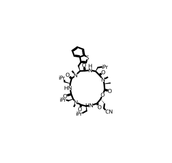 CC(C)C[C@@H]1NC(=O)[C@H](Cc2csc3ccccc23)N(C)C(=O)[C@H](CC(C)C)NC(=O)[C@H](CC(C)C)N(C)C(=O)[C@H](CC(C)C)NC(=O)[C@@H](CCC#N)OC(=O)[C@H](C)N(C)C1=O